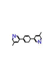 Cc1cncc(C2=CCC(c3cncc(C)c3)C=C2)c1